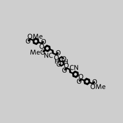 COC(=O)c1ccc(C(=O)Oc2ccc(/C=C(\C#N)C(=O)O[C@H]3CO[C@H]4[C@@H]3OC[C@H]4OC(=O)/C(C#N)=C/c3ccc(OC(=O)c4ccc(C(=O)OC)cc4)c(OC)c3)cc2)cc1